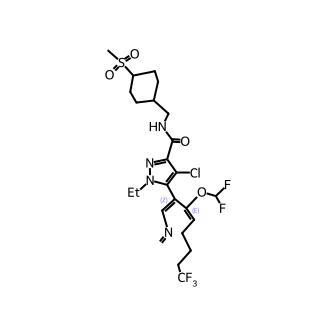 C=N/C=C(\C(=C/CCCC(F)(F)F)OC(F)F)c1c(Cl)c(C(=O)NCC2CCC(S(C)(=O)=O)CC2)nn1CC